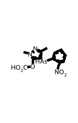 Cc1nn(C)c(OC(=O)O)c1[AsH]c1ccccc1[N+](=O)[O-]